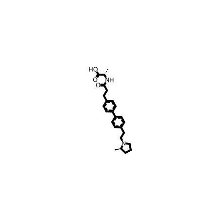 C[C@H](NC(=O)CCc1ccc(-c2ccc(CCN3CCC[C@H]3C)cc2)cc1)C(=O)O